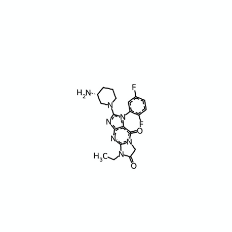 CCN1C(=O)Cn2c1nc1nc(N3CCC[C@@H](N)C3)n(-c3cc(F)ccc3F)c1c2=O